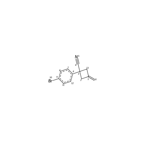 C=C1CC(C#N)(c2ccc(Br)cc2)C1